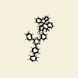 CC1(C)c2ccccc2C2(c3ccccc3-c3ccccc32)c2ccc3oc4c(-c5nc(-c6ccccc6)nc(-c6ccc(-c7ccccc7)cc6)n5)cccc4c3c21